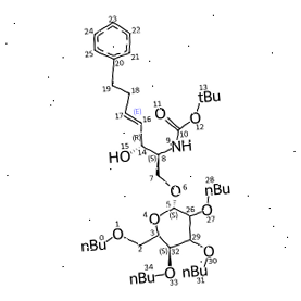 CCCCOCC1O[C@H](OC[C@H](NC(=O)OC(C)(C)C)[C@H](O)/C=C/CCc2ccccc2)C(OCCCC)C(OCCCC)[C@H]1OCCCC